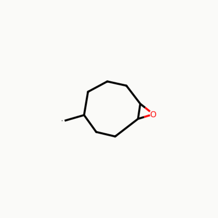 [CH2]C1CCCC2OC2CC1